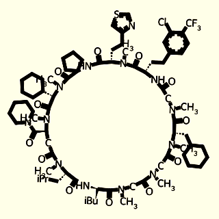 CC[C@H](C)[C@@H]1NC(=O)[C@H](CC(C)C)N(C)C(=O)C[C@@H](C(=O)N2CCCCC2)N(C)C(=O)[C@H](C2CCCCC2)N(C)C(=O)C2(CCCC2)NC(=O)[C@H](CCc2cscn2)N(C)C(=O)[C@H](CCc2ccc(C(F)(F)F)c(Cl)c2)NC(=O)CN(C)C(=O)[C@H](CC2CCCCC2)N(C)C(=O)CN(C)C(=O)CN(C)C1=O